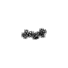 C[Si]1(C)c2cc(N(c3ccccc3)c3cccc4ccccc34)ccc2-c2c1cc1c3c(cccc23)[Si](C)(C)c2cc(N(c3ccccc3)c3cccc4ccccc34)ccc2-1